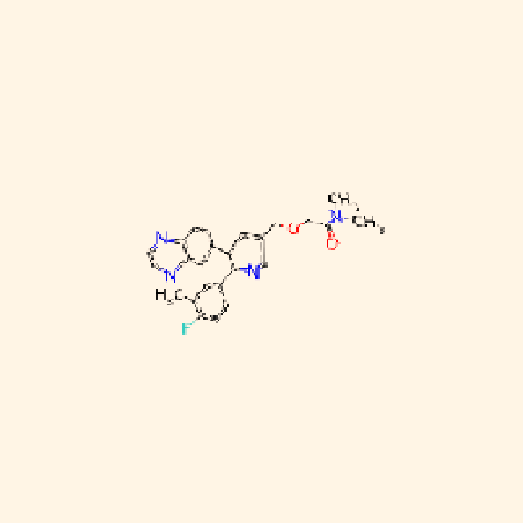 Cc1cc(-c2ncc(COCC(=O)N(C)C)cc2-c2ccc3nccnc3c2)ccc1F